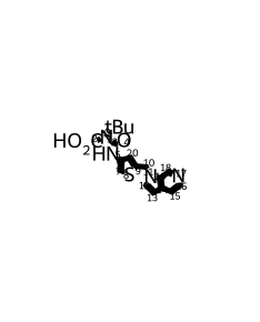 CC(C)(C)N(C(=O)O)C(=O)Nc1csc(Cn2ccc3ccncc32)c1